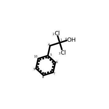 OC(Cl)(Cl)Cc1ccccc1